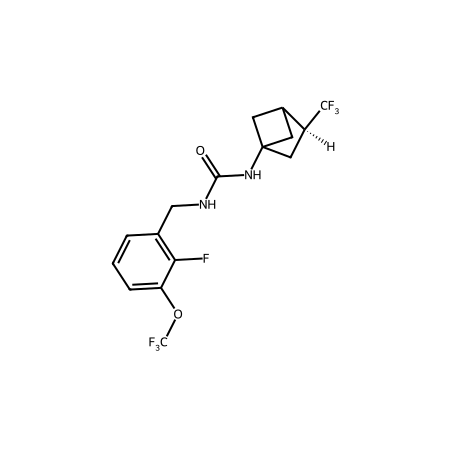 O=C(NCc1cccc(OC(F)(F)F)c1F)NC12CC(C1)[C@@H](C(F)(F)F)C2